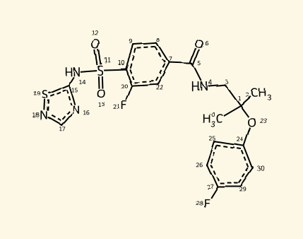 CC(C)(CNC(=O)c1ccc(S(=O)(=O)Nc2ncns2)c(F)c1)Oc1ccc(F)cc1